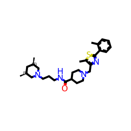 Cc1ccccc1-c1nc(CN2CCC(C(=O)NCCCN3C[C@H](C)C[C@H](C)C3)CC2)c(C)s1